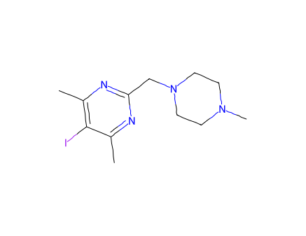 Cc1nc(CN2CCN(C)CC2)nc(C)c1I